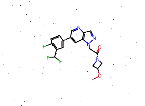 COC1CN(C(=O)Cn2ncc3ncc(-c4ccc(F)c(C(F)F)c4)cc32)C1